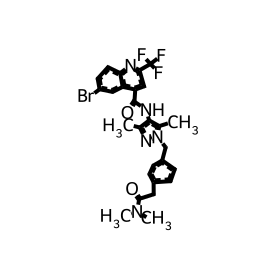 Cc1nn(Cc2ccc(CC(=O)N(C)C)cc2)c(C)c1NC(=O)c1cc(C(F)(F)F)nc2ccc(Br)cc12